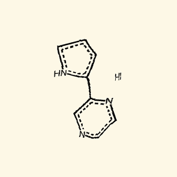 I.c1c[nH]c(-c2cnccn2)c1